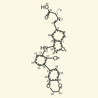 C[C@H](N=Cc1ccc2onc(Nc3cccc(-c4ccc5c(c4)OCCO5)c3Cl)c2c1)C(=O)O